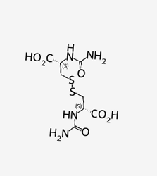 NC(=O)N[C@H](CSSC[C@@H](NC(N)=O)C(=O)O)C(=O)O